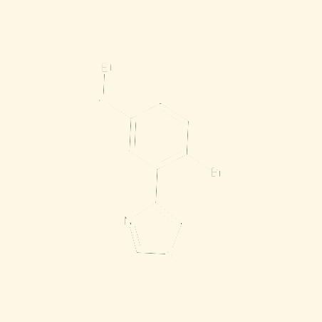 CCOc1ccc(Br)c(-c2cscn2)c1